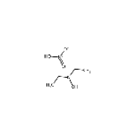 CCN(O)CC.O=[N+]([O-])O